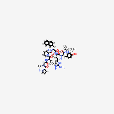 C[C@@H](NC(=O)[C@H](Cc1ccc(O)cc1)NC(=O)[C@H](CCCNC(=N)N)NC(=O)[C@H](Cc1ccc2ccccc2c1)NC(=O)[C@@H]1CCCCN1C(=O)[C@@H](CC(=O)O)NC(=O)CN(C)C(=O)[C@@H]1CCCN1)C(=O)O